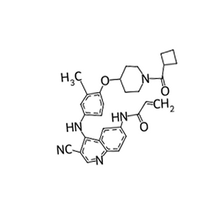 C=CC(=O)Nc1ccc2ncc(C#N)c(Nc3ccc(OC4CCN(C(=O)C5CCC5)CC4)c(C)c3)c2c1